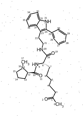 CC(=O)CCCCC[C@H](NC(=O)[C@H]1CCCN1C)C(=O)NCCc1c(-c2ccccc2)[nH]c2ccccc12